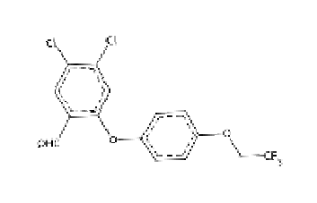 O=Cc1cc(Cl)c(Cl)cc1Oc1ccc(OCC(F)(F)F)cc1